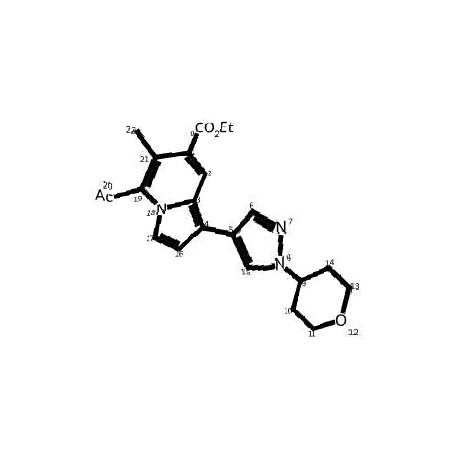 CCOC(=O)c1cc2c(-c3cnn(C4CCOCC4)c3)ccn2c(C(C)=O)c1C